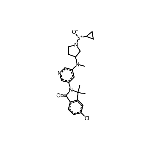 CN(c1cncc(N2C(=O)c3ccc(Cl)cc3C2(C)C)c1)C1CCN([S+]([O-])C2CC2)C1